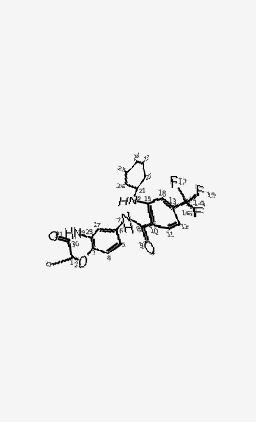 CC1Oc2ccc(NC(=O)c3ccc(C(F)(F)F)cc3NC3CCCCC3)cc2NC1=O